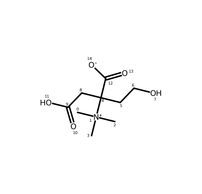 C[N+](C)(C)C(CCO)(CC(=O)O)C(=O)[O-]